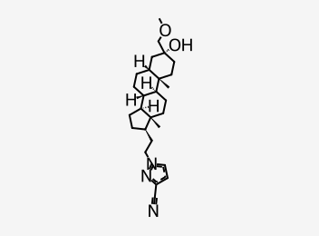 COC[C@@]1(O)CC[C@@]2(C)[C@H](CC[C@@H]3[C@@H]2CC[C@]2(C)[C@@H](CCn4ccc(C#N)n4)CC[C@@H]32)C1